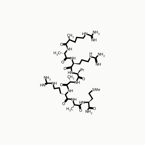 CSCC[C@H](NC(=O)[C@H](C)NC(=O)[C@H](CCCNC(=N)N)NC(=O)[C@H](C)NC(=O)[C@@H](NC(=O)[C@H](CCCNC(=N)N)NC(=O)[C@H](C)NC(=O)[C@@H](C)CCCNC(=N)N)C(C)C)C(N)=O